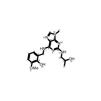 COc1cccc(CNc2nc(NCC(C)O)nc3c2ncn3C)c1O